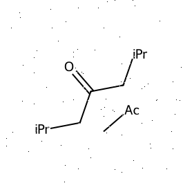 CC(C)=O.CC(C)CC(=O)CC(C)C